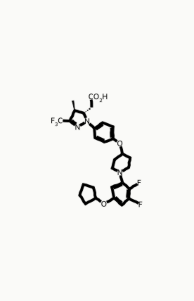 C[C@@H]1C(C(F)(F)F)=NN(c2ccc(OC3CCN(c4cc(OC5CCCC5)cc(F)c4F)CC3)cc2)[C@H]1CC(=O)O